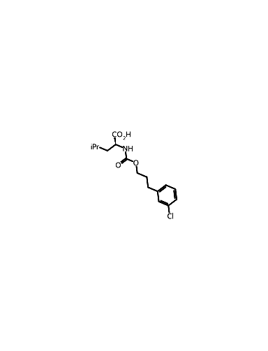 CC(C)C[C@H](NC(=O)OCCCc1cccc(Cl)c1)C(=O)O